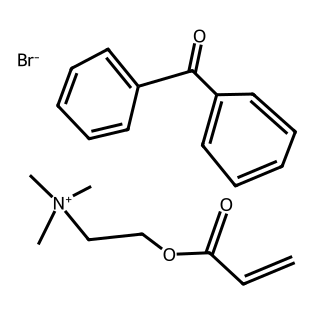 C=CC(=O)OCC[N+](C)(C)C.O=C(c1ccccc1)c1ccccc1.[Br-]